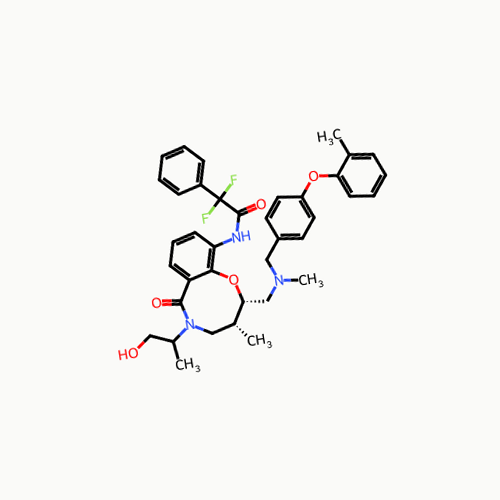 Cc1ccccc1Oc1ccc(CN(C)C[C@H]2Oc3c(NC(=O)C(F)(F)c4ccccc4)cccc3C(=O)N(C(C)CO)C[C@H]2C)cc1